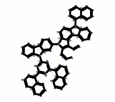 C=Cc1c(/C=C\C)n(-c2ccc3c4ccccc4n(-c4nc(-c5cccc6ccccc56)nc(-c5cccc6ccccc56)n4)c3c2)c2ccc3c(c4ccccc4n3-c3cccc4ccccc34)c12